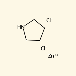 C1CCNC1.[Cl-].[Cl-].[Zn+2]